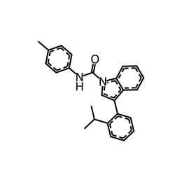 Cc1ccc(NC(=O)n2cc(-c3ccccc3C(C)C)c3ccccc32)cc1